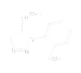 COc1cccc(OC)c1-n1nncc1C